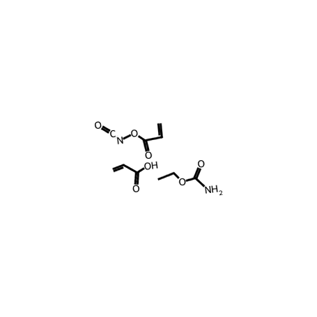 C=CC(=O)O.C=CC(=O)ON=C=O.CCOC(N)=O